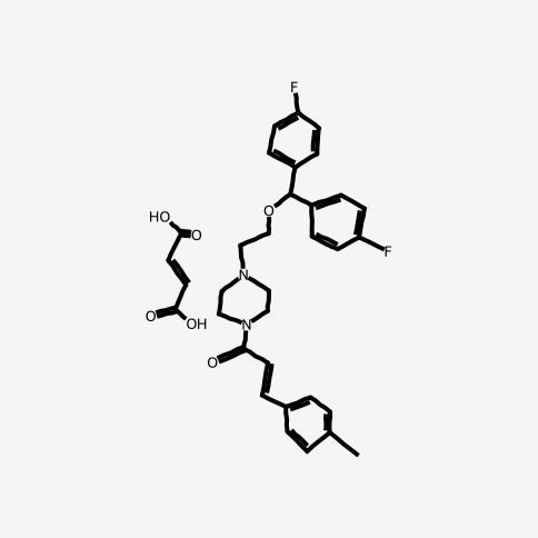 Cc1ccc(C=CC(=O)N2CCN(CCOC(c3ccc(F)cc3)c3ccc(F)cc3)CC2)cc1.O=C(O)C=CC(=O)O